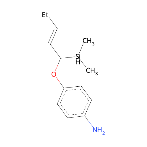 CCC=CC(Oc1ccc(N)cc1)[SiH](C)C